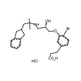 CC(C)(CC1Cc2ccccc2C1)NC[C@@H](O)COc1cc(CCC(=O)O)ccc1Br.Cl